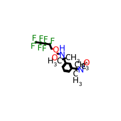 CC(C)(N=C=O)c1cccc(C(C)(C)NC(=O)OCC(F)C(F)(F)C(F)(F)C(F)F)c1